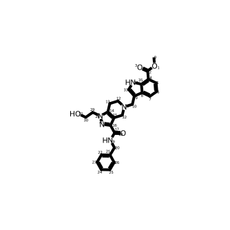 COC(=O)c1cccc2c(CN3CCc4c(c(C(=O)NCc5ccccc5)nn4CCO)C3)c[nH]c12